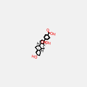 C[C@]12CC[C@H]3[C@@H](CCC4=C[C@@H](O)CC[C@@]43C)[C@@]1(O)CC[C@]2(O)c1ccc(C(=O)O)cc1